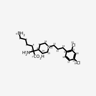 BCCCCC(N)(C(=O)O)C1CCN(CCCc2ccc(Cl)cc2Cl)CC1